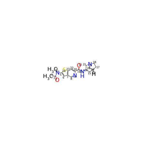 CC(=O)N(C)c1cc2cnc(C(=O)N[C@@H]3C[C@H]4CCN(C4)C3)cc2s1